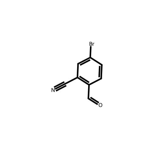 N#Cc1cc(Br)ccc1C=O